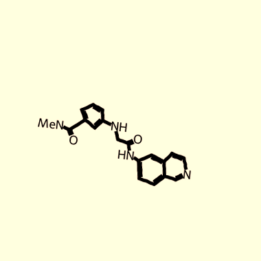 CNC(=O)c1cccc(NCC(=O)Nc2ccc3cnccc3c2)c1